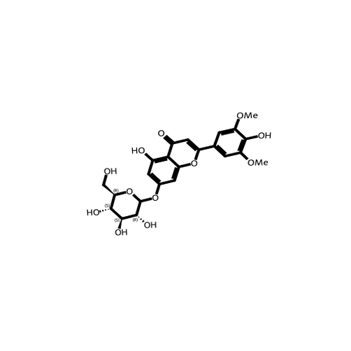 COc1cc(-c2cc(=O)c3c(O)cc(OC4O[C@H](CO)[C@@H](O)[C@H](O)[C@H]4O)cc3o2)cc(OC)c1O